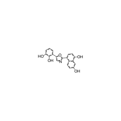 Oc1ccc2c(-c3ncc(-c4cccc(O)c4O)o3)ccc(O)c2c1